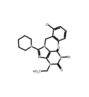 CCn1c(=O)c2c(nc(N3CCCCC3)n2Cc2c(F)cccc2Cl)n(CC(=O)O)c1=O